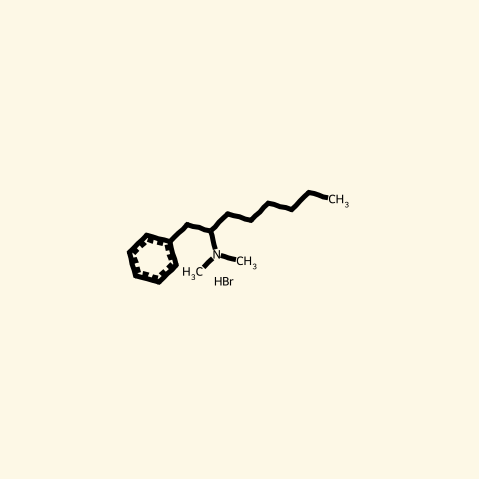 Br.CCCCCCC(Cc1ccccc1)N(C)C